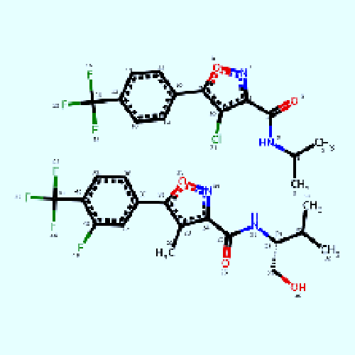 CC(C)NC(=O)c1noc(-c2ccc(C(F)(F)F)cc2)c1Cl.Cc1c(C(=O)N[C@@H](CO)C(C)C)noc1-c1ccc(C(F)(F)F)c(F)c1